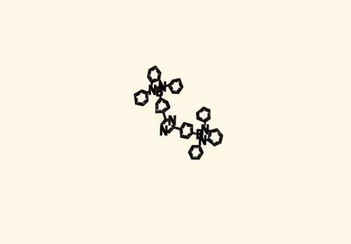 c1ccc(N2B(c3ccc(-c4cncc(-c5ccc(B6N(c7ccccc7)c7ccccc7N6c6ccccc6)cc5)n4)cc3)N(c3ccccc3)c3ccccc32)cc1